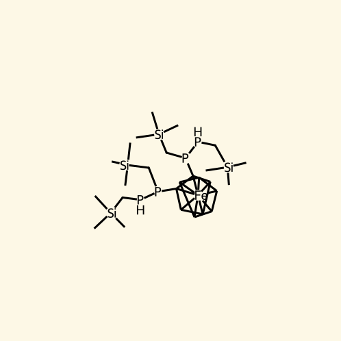 C[Si](C)(C)CPP(C[Si](C)(C)C)[C]12[CH]3[CH]4[CH]5[C]1(P(C[Si](C)(C)C)PC[Si](C)(C)C)[Fe]43521678[CH]2[CH]1[CH]6[CH]7[CH]28